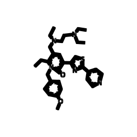 CCc1c(CN(CC)CCN(CC)CC)cc(-c2csc(-c3ccncc3)n2)c(=O)n1Cc1ccc(OC)cc1